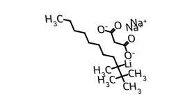 O=C([O-])CC(=O)[O-].[Li][C](C)(CCCCCCCC)C(C)(C)C.[Na+].[Na+]